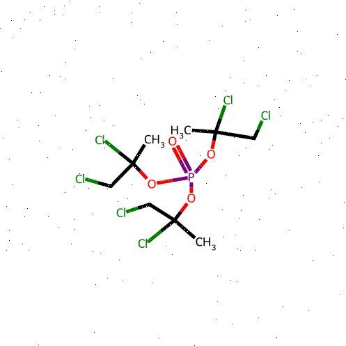 CC(Cl)(CCl)OP(=O)(OC(C)(Cl)CCl)OC(C)(Cl)CCl